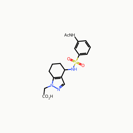 CC(=O)Nc1cccc(S(=O)(=O)NC2CCCc3c2cnn3CC(=O)O)c1